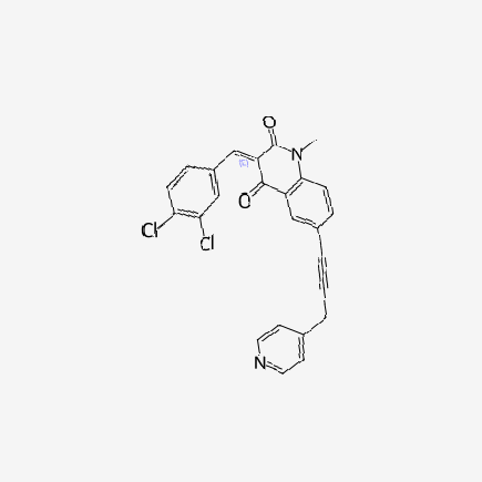 CN1C(=O)/C(=C/c2ccc(Cl)c(Cl)c2)C(=O)c2cc(C#CCc3ccncc3)ccc21